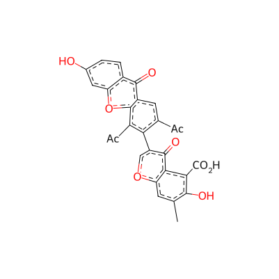 CC(=O)c1cc2c(=O)c3ccc(O)cc3oc2c(C(C)=O)c1-c1coc2cc(C)c(O)c(C(=O)O)c2c1=O